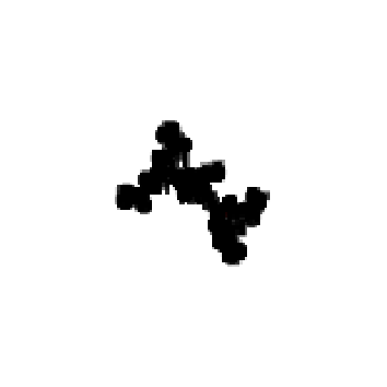 COC(=O)C1CC(=O)N(CCNC(=O)CCN(CCSCC(O)COCC(COCC(O)CSCCN(CCC(=O)NCCN2CC(C(=O)OC)CC2=O)CCC(=O)NCCN2CC(C(=O)OC)CC2=O)(COCC2CO2)COCC2CO2)CCC(=O)NCCN2CC(C(=O)OC)CC2=O)C1